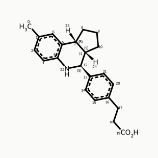 Cc1ccc2c(c1)[C@@H]1CCC[C@@H]1[C@@H](c1ccc(CCC(=O)O)cc1)N2